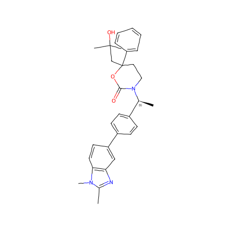 Cc1nc2cc(-c3ccc([C@H](C)N4CCC(CC(C)(C)O)(c5ccccc5)OC4=O)cc3)ccc2n1C